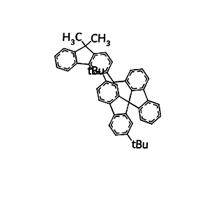 CC(C)(C)c1ccc2c(c1)C1(c3cc(C(C)(C)C)ccc3-2)c2ccccc2-c2cccc(Cc3ccc4c(c3)-c3ccccc3C4(C)C)c21